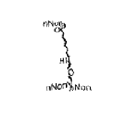 CCCCCCCCCOC(=O)CCCCCCCNCCOCCN(CCCCCCCCC)CCCCCCCCC